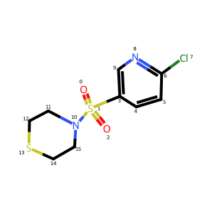 O=S(=O)(c1ccc(Cl)nc1)N1CCSCC1